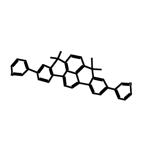 CC1(C)c2cc(-c3cccnc3)ccc2-c2ccc3c4c(ccc1c24)C(C)(C)c1cc(-c2cccnc2)ccc1-3